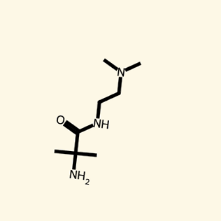 CN(C)CCNC(=O)C(C)(C)N